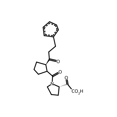 O=C(O)C(=O)[C@@H]1CCCN1C(=O)C1CCC[C@H]1C(=O)CCc1ccccc1